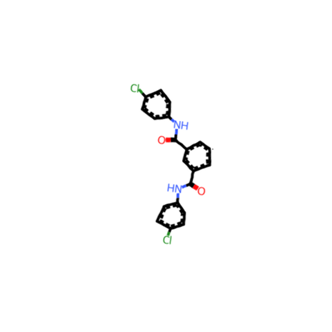 O=C(Nc1ccc(Cl)cc1)c1c[c]cc(C(=O)Nc2ccc(Cl)cc2)c1